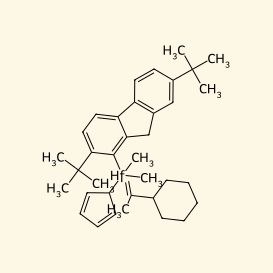 C[C](C1CCCCC1)=[Hf]([CH3])([CH3])([c]1c(C(C)(C)C)ccc2c1Cc1cc(C(C)(C)C)ccc1-2)[CH]1C=CC=C1